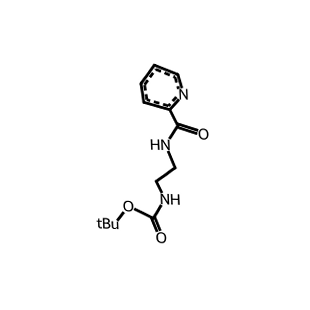 CC(C)(C)OC(=O)NCCNC(=O)c1ccccn1